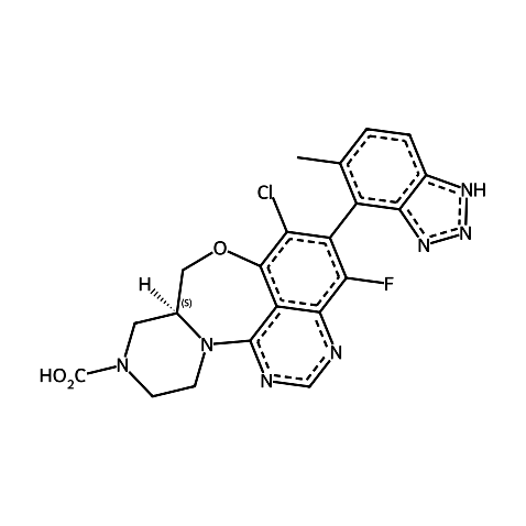 Cc1ccc2[nH]nnc2c1-c1c(Cl)c2c3c(ncnc3c1F)N1CCN(C(=O)O)C[C@H]1CO2